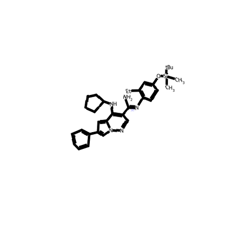 CCc1cc(O[Si](C)(C)C(C)(C)C)ccc1/N=C(\N)c1cnn2cc(-c3ccccc3)cc2c1NC1CCCC1